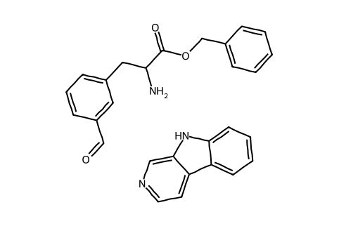 NC(Cc1cccc(C=O)c1)C(=O)OCc1ccccc1.c1ccc2c(c1)[nH]c1cnccc12